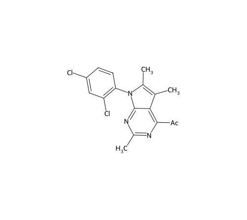 CC(=O)c1nc(C)nc2c1c(C)c(C)n2-c1ccc(Cl)cc1Cl